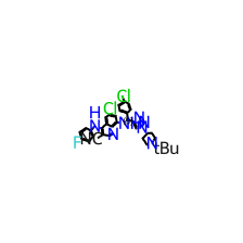 CC(C)(C)N1CCC(n2cc([C@@H](Nc3cc(Cl)cc4c(Nc5ccc(F)cc5)c(C#N)cnc34)c3ccc(Cl)cc3)nn2)CC1